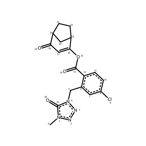 Cn1nnn(Cc2cc(Cl)ccc2C(=O)OC2=CC(=O)C3CCC2C3)c1=O